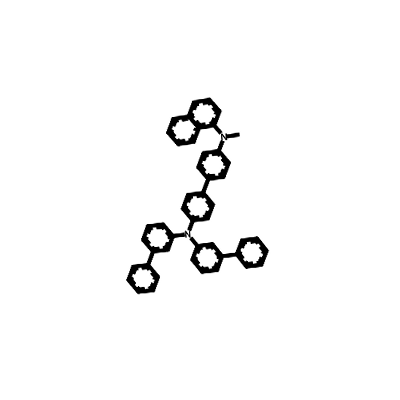 CN(c1ccc(-c2ccc(N(c3cccc(-c4ccccc4)c3)c3cccc(-c4ccccc4)c3)cc2)cc1)c1cccc2ccccc12